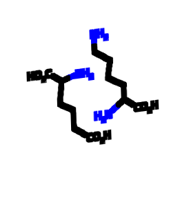 NC(CCCC(=O)O)C(=O)O.NCCCCC(N)C(=O)O